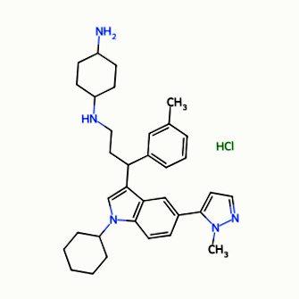 Cc1cccc(C(CCNC2CCC(N)CC2)c2cn(C3CCCCC3)c3ccc(-c4ccnn4C)cc23)c1.Cl